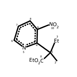 CCOC(=O)C(C)(CC)c1ncccc1[N+](=O)[O-]